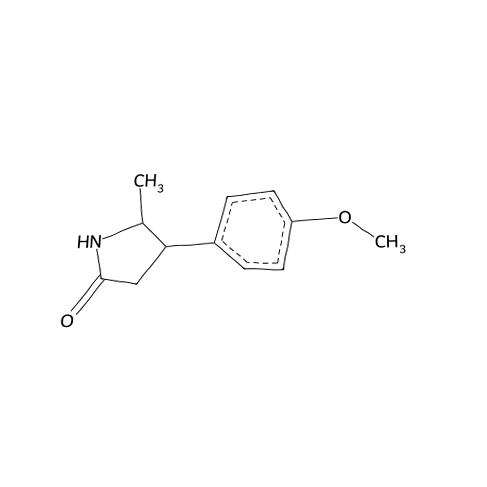 COc1ccc(C2CC(=O)NC2C)cc1